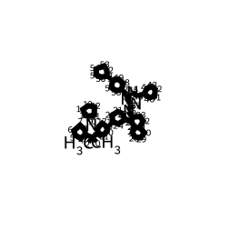 CC1(C)c2ccccc2N(c2ccccc2)c2cc(-c3ccc4c(c3)c3c5ccccc5ccc3n4-c3nc(-c4ccccc4)nc(-c4ccc(-c5ccccc5)cc4)n3)ccc21